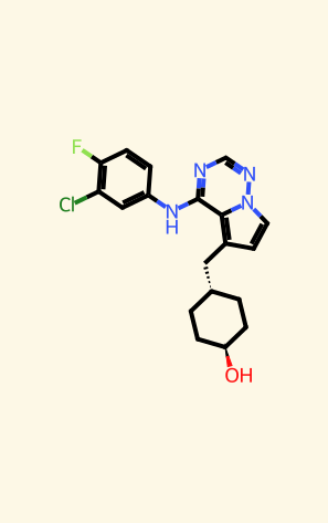 O[C@H]1CC[C@H](Cc2ccn3ncnc(Nc4ccc(F)c(Cl)c4)c23)CC1